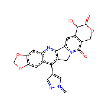 C=[N+]1C=C(c2c3c(nc4cc5c(cc24)OCO5)-c2cc4c(c(=O)n2C3)COC(=O)C4O)C=N1